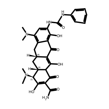 CN(C)c1cc(NC(=O)Nc2ccccc2)c(O)c2c1C[C@H]1C[C@@H]3C(C(=O)C(C(N)=O)=C(O)[C@H]3N(C)C)C(O)=C1C2=O